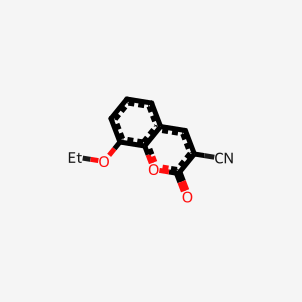 CCOc1cccc2cc(C#N)c(=O)oc12